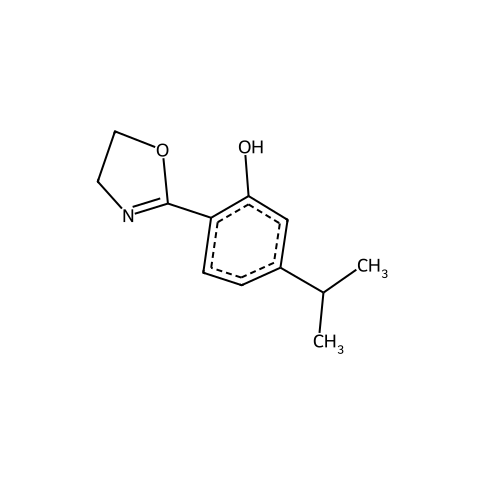 CC(C)c1ccc(C2=NCCO2)c(O)c1